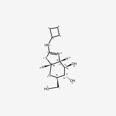 OC[C@H]1O[C@@H]2SC(NC3CCC3)=N[C@@H]2[C@@H](O)[C@@H]1O